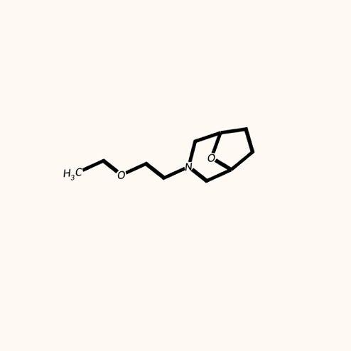 CCOCCN1CC2CCC(C1)O2